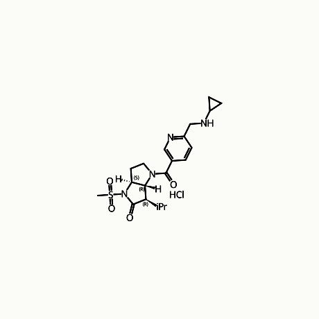 CC(C)[C@H]1C(=O)N(S(C)(=O)=O)[C@H]2CCN(C(=O)c3ccc(CNC4CC4)nc3)[C@H]12.Cl